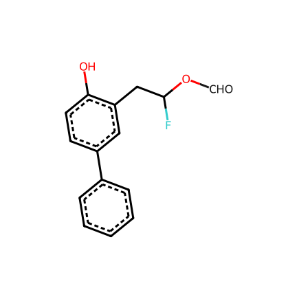 O=COC(F)Cc1cc(-c2ccccc2)ccc1O